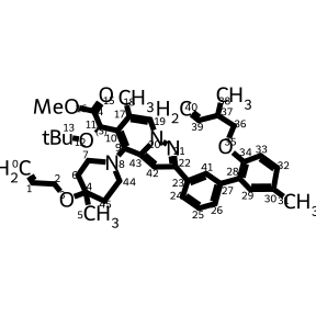 C=CCOC1(C)CCN(c2c([C@H](OC(C)(C)C)C(=O)OC)c(C)cn3nc(-c4cccc(-c5cc(C)ccc5OCC(C)C=C)c4)cc23)CC1